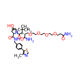 Cc1ncsc1-c1ccc(CNC(=O)C2C[C@@H](O)CN2C(=O)[C@@H](C(COCCOCCOCCOCCC(N)=O)C(N)=O)C(C)(C)C)cc1